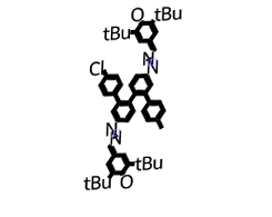 Cc1ccc(-c2cc(/N=N/C=C3C=C(C(C)(C)C)C(=O)C(C(C)(C)C)=C3)ccc2-c2ccc(/N=N/C=C3C=C(C(C)(C)C)C(=O)C(C(C)(C)C)=C3)cc2-c2ccc(Cl)cc2)cc1